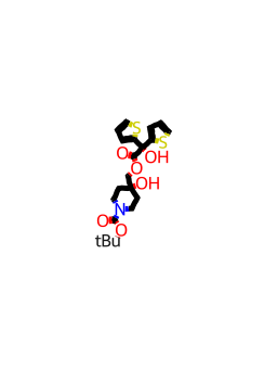 CC(C)(C)OC(=O)N1CCC(O)(COC(=O)C(O)(c2cccs2)c2cccs2)CC1